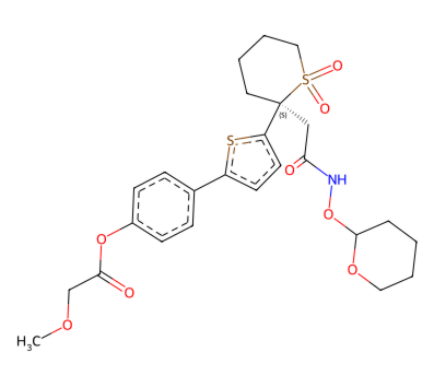 COCC(=O)Oc1ccc(-c2ccc([C@@]3(CC(=O)NOC4CCCCO4)CCCCS3(=O)=O)s2)cc1